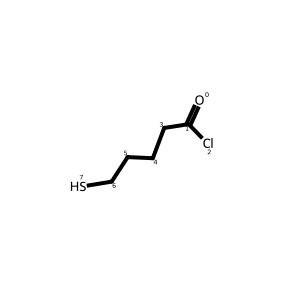 O=C(Cl)CCCCS